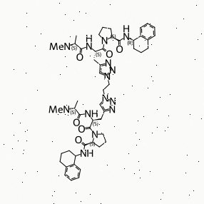 CN[C@@H](C)C(=O)N[C@@H](Cc1cn(CCn2cc(C[C@H](NC(=O)[C@H](C)NC)C(=O)N3CCC[C@H]3C(=O)N[C@@H]3CCCc4ccccc43)nn2)nn1)C(=O)N1CCC[C@H]1C(=O)NC1CCCc2ccccc21